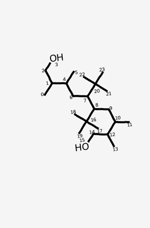 CC(CO)C(C)CC(C(CC(C)C(C)CO)C(C)(C)C)C(C)(C)C